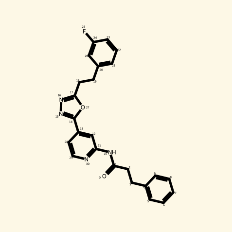 O=C(CCc1ccccc1)Nc1cc(-c2nnc(CCc3cccc(F)c3)o2)ccn1